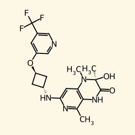 Cc1nc(N[C@H]2C[C@H](Oc3cncc(C(F)(F)F)c3)C2)cc2c1NC(=O)[C@](C)(O)N2C